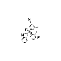 N#Cc1cc(F)cc(S(=O)(=O)c2cnc3ccccc3c2-c2ccc(F)c(F)c2)c1